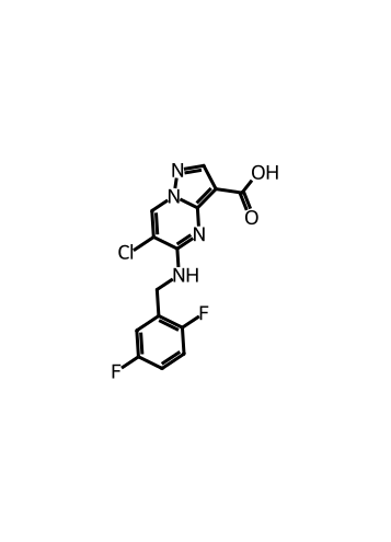 O=C(O)c1cnn2cc(Cl)c(NCc3cc(F)ccc3F)nc12